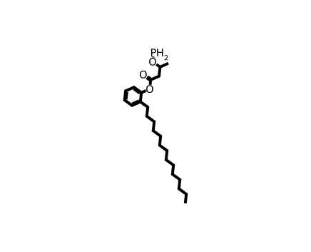 CCCCCCCCCCCCCCc1ccccc1OC(=O)CC(C)OP